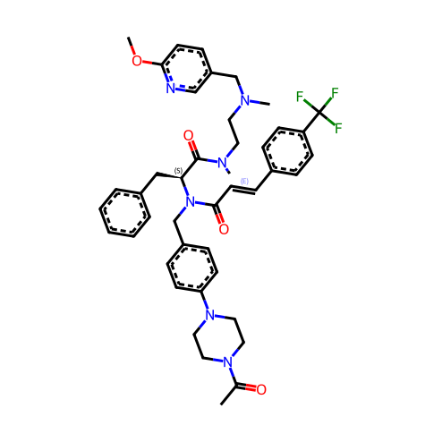 COc1ccc(CN(C)CCN(C)C(=O)[C@H](Cc2ccccc2)N(Cc2ccc(N3CCN(C(C)=O)CC3)cc2)C(=O)/C=C/c2ccc(C(F)(F)F)cc2)cn1